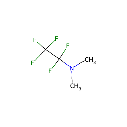 CN(C)C(F)(F)C(F)(F)F